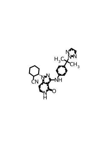 CC(C)(c1ccc(Nc2nn([C@H]3CCCCC3C#N)c3cc[nH]c(=O)c23)cc1)n1nccn1